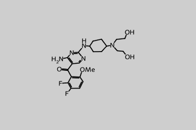 COc1ccc(F)c(F)c1C(=O)c1cnc(NC2CCC(N(CCO)CCO)CC2)nc1N